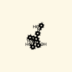 NC1(N)C(=Cc2ccccc2O)C(c2ccc(N=Cc3ccccc3O)cc2)=CC(=Cc2ccccc2O)C1N=Cc1ccccc1O